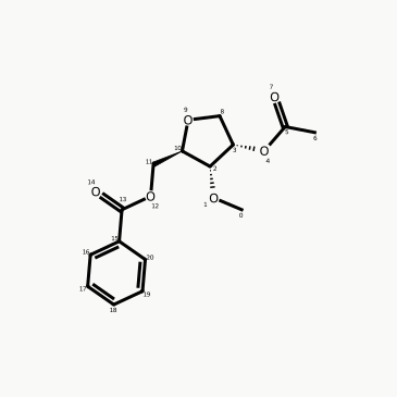 CO[C@H]1[C@@H](OC(C)=O)CO[C@@H]1COC(=O)c1ccccc1